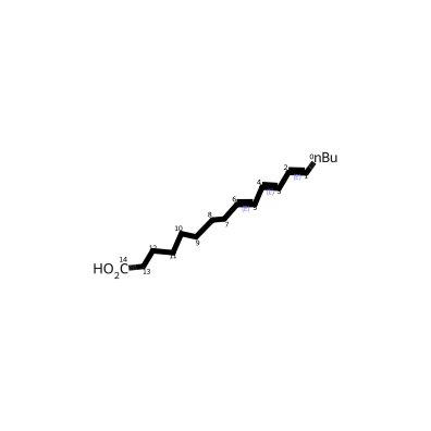 CCCC/C=C/C=C/C=C/CCCCCCCC(=O)O